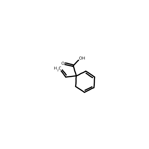 C=CC1(C(=O)O)C=CC=CC1